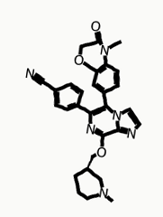 CN1CCC[C@@H](COc2nc(-c3ccc(C#N)cc3)c(-c3ccc4c(c3)OCC(=O)N4C)n3ccnc23)C1